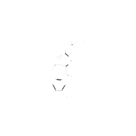 CN1C(=O)[C@@H](NC(=O)OC(C)(C)C)COc2ccc(O)cc21